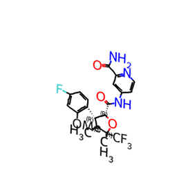 COc1cc(F)ccc1[C@@H]1[C@H](C(=O)Nc2ccnc(C(N)=O)c2)O[C@@](C)(C(F)(F)F)[C@H]1C